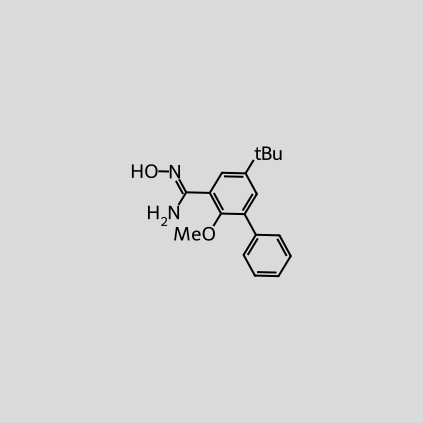 COc1c(/C(N)=N/O)cc(C(C)(C)C)cc1-c1ccccc1